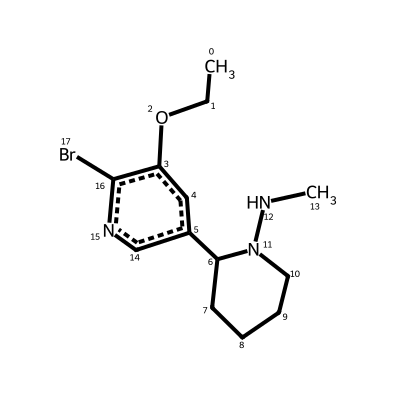 CCOc1cc(C2CCCCN2NC)cnc1Br